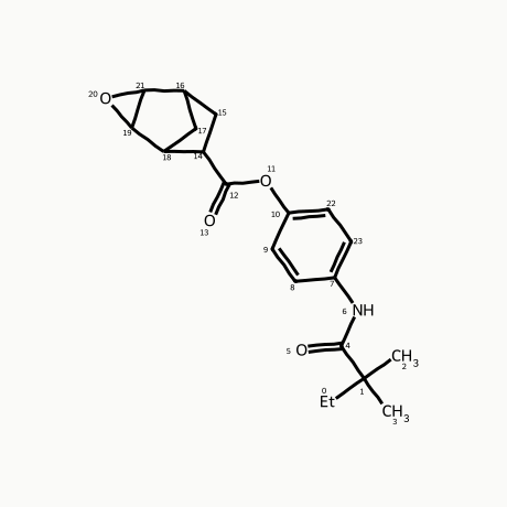 CCC(C)(C)C(=O)Nc1ccc(OC(=O)C2CC3CC2C2OC32)cc1